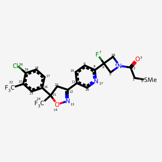 CSCC(=O)N1CC(F)(c2ccc(C3=NOC(c4ccc(Cl)c(C(F)(F)F)c4)(C(F)(F)F)C3)cn2)C1